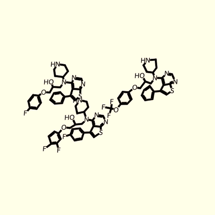 OC(COc1ccc(F)c(F)c1)CN(c1ncnc2scc(-c3ccc(F)cc3)c12)C1CCNCC1.OC(COc1ccc(F)cc1)CN(c1ncnc2scc(-c3ccccc3)c12)C1CCNCC1.OC(COc1ccc(OC(F)(F)F)cc1)CN(c1ncnc2scc(-c3ccccc3)c12)C1CCNCC1